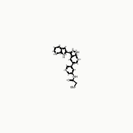 CC(C)(C)CC(=O)Nc1cncc(-c2cnc3[nH]nc(-c4cc5cccnc5[nH]4)c3c2)c1